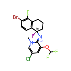 Cn1cc(Cl)cc(OC(F)F)/c1=N/[C@@]1(I)CCCc2c1ccc(Br)c2F